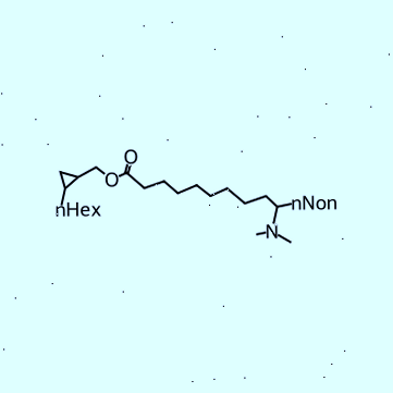 CCCCCCCCCC(CCCCCCCCC(=O)OCC1CC1CCCCCC)N(C)C